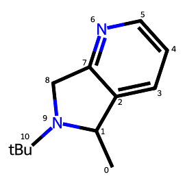 CC1c2cccnc2CN1C(C)(C)C